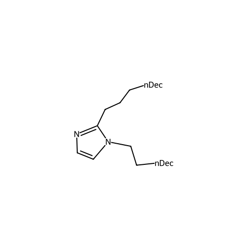 CCCCCCCCCCCCCc1nccn1CCCCCCCCCCCC